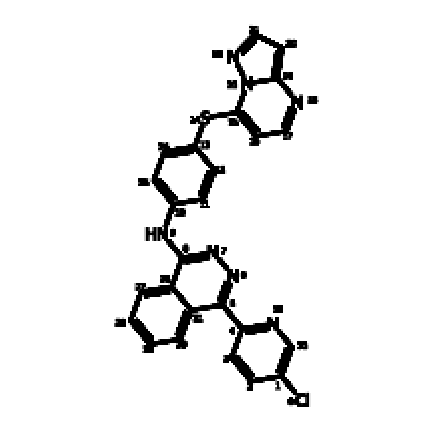 Clc1ccc(-c2nnc(Nc3ccc(Sc4ccnc5ccnn45)cc3)c3ccccc23)nc1